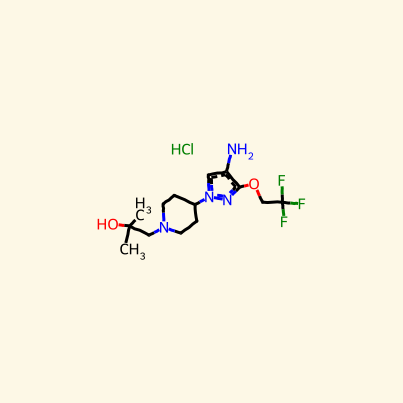 CC(C)(O)CN1CCC(n2cc(N)c(OCC(F)(F)F)n2)CC1.Cl